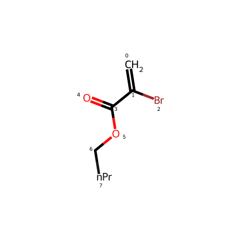 C=C(Br)C(=O)OCCCC